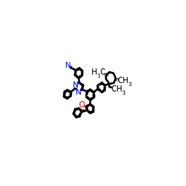 CCC1(c2ccc(-c3cc(-c4cc(-c5cccc(C#N)c5)nc(-c5ccccc5)n4)cc(-c4cccc5c4oc4ccccc45)c3)cc2)C[C@@H](C)CC[C@H](C)C1